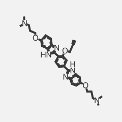 C#CCOc1cc(-c2nc3ccc(OCCCN(C)C)cc3[nH]2)ccc1-c1nc2ccc(OCCCN(C)C)cc2[nH]1